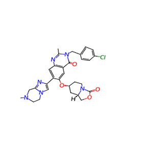 Cc1nc2cc(-c3cn4c(n3)CN(C)CC4)c(O[C@H]3CCN4C(=O)OC[C@@H]4C3)cc2c(=O)n1Cc1ccc(Cl)cc1